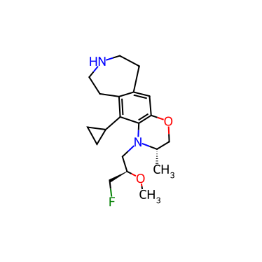 CO[C@@H](CF)CN1c2c(cc3c(c2C2CC2)CCNCC3)OC[C@@H]1C